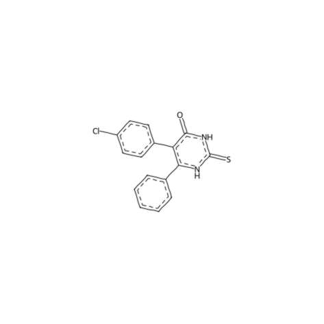 O=c1[nH]c(=S)[nH]c(-c2ccccc2)c1-c1ccc(Cl)cc1